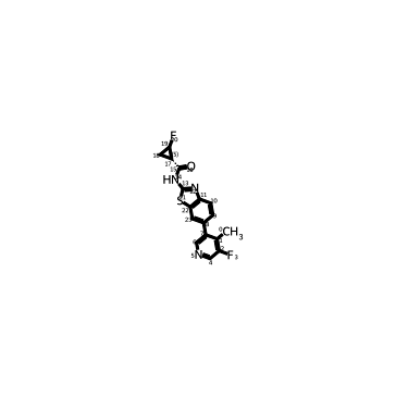 Cc1c(F)cncc1-c1ccc2nc(NC(=O)[C@@H]3CC3F)sc2c1